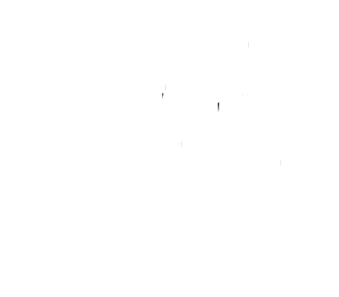 CCOC(=O)C[C@@]12C(=O)C[C@H]([C@H](C)CCCC(C)C)[C@@]1(C)CCC1=C2CC[C@H]2C[C@@H](OC(=O)c3ccccc3)CC[C@]12C